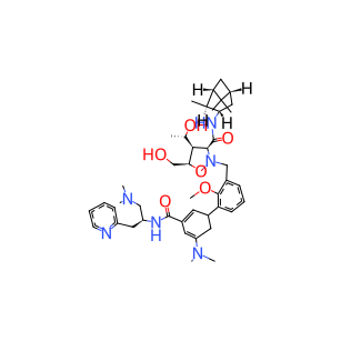 COc1c(CN2O[C@@H](CO)[C@@H]([C@H](C)O)[C@H]2C(=O)N[C@H]2C[C@H]3C[C@@H]([C@@H]2C)C3(C)C)cccc1C1C=C(C(=O)N[C@@H](Cc2ccccn2)CN(C)C)C=C(N(C)C)C1